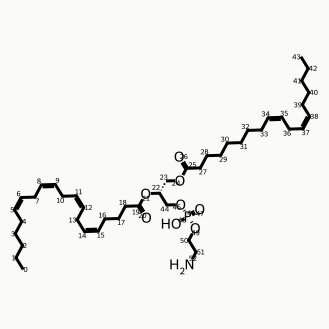 CCCCC/C=C\C/C=C\C/C=C\C/C=C\CCCC(=O)O[C@H](COC(=O)CCCCCCC/C=C\C/C=C\CCCCC)COP(=O)(O)OCCN